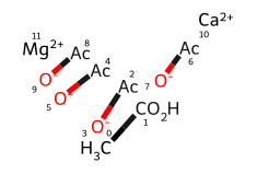 CC(=O)O.CC(=O)[O-].CC(=O)[O-].CC(=O)[O-].CC(=O)[O-].[Ca+2].[Mg+2]